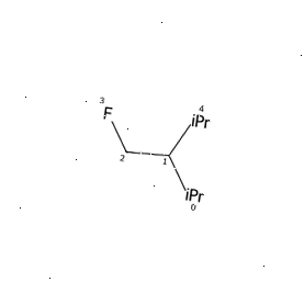 CC(C)C(CF)C(C)C